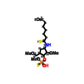 CCCCCCCCCCCCCCCC(=S)N[C@@H]1C[C@H](COC)C(OP(O)(=S)OC)[C@@H]1OC